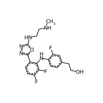 CNCCNc1nnc(-c2ccc(F)c(F)c2Nc2ccc(CCO)cc2F)o1